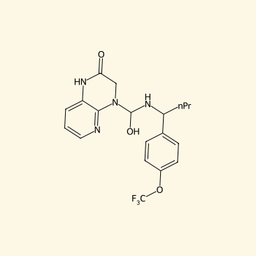 CCCC(NC(O)N1CC(=O)Nc2cccnc21)c1ccc(OC(F)(F)F)cc1